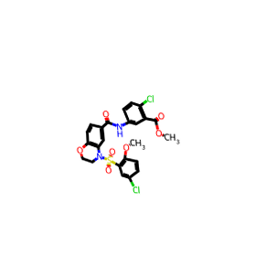 COC(=O)c1cc(NC(=O)c2ccc3c(c2)N(S(=O)(=O)c2cc(Cl)ccc2OC)CCO3)ccc1Cl